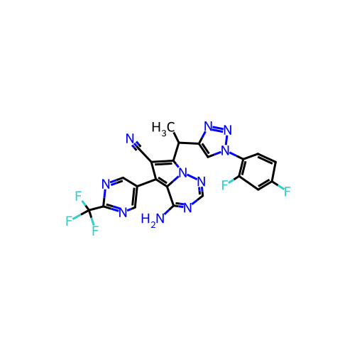 CC(c1cn(-c2ccc(F)cc2F)nn1)c1c(C#N)c(-c2cnc(C(F)(F)F)nc2)c2c(N)ncnn12